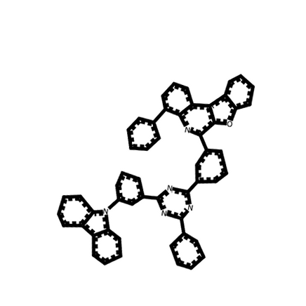 c1ccc(-c2nc(-c3cccc(-c4nc5c(-c6ccccc6)cccc5c5c4oc4ccccc45)c3)nc(-c3cccc(-n4c5ccccc5c5ccccc54)c3)n2)cc1